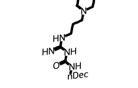 CCCCCCCCCCNC(=O)NC(=N)NCCCN1CCOCC1